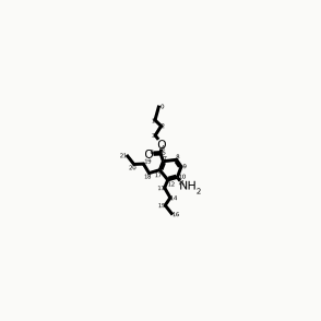 CCCCOC(=O)c1ccc(N)c(CCCC)c1CCCC